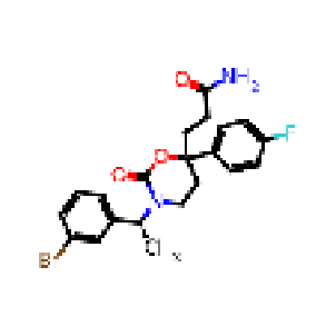 C[C@@H](c1cccc(Br)c1)N1CC[C@@](CCC(N)=O)(c2ccc(F)cc2)OC1=O